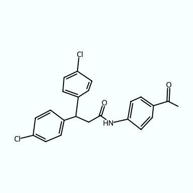 CC(=O)c1ccc(NC(=O)CC(c2ccc(Cl)cc2)c2ccc(Cl)cc2)cc1